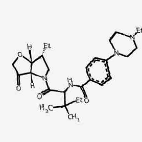 CC[C@@H]1CN(C(=O)C(NC(=O)c2ccc(N3CCN(CC)CC3)cc2)C(C)(C)CC)[C@@H]2C(=O)CO[C@H]12